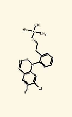 CC(C)(C)[Si](C)(C)OCCc1ccccc1N1CN=Cc2cc(Cl)c(Cl)nc21